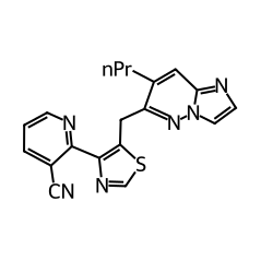 CCCc1cc2nccn2nc1Cc1scnc1-c1ncccc1C#N